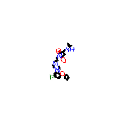 O=C1CC(CNC2CC2)C(=O)N1CCCN1CCN(c2cc(F)ccc2OC2CCCC2)CC1